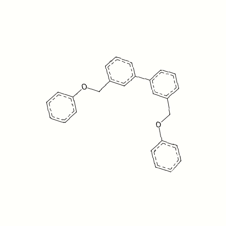 c1ccc(OCc2cccc(-c3cccc(COc4ccccc4)c3)c2)cc1